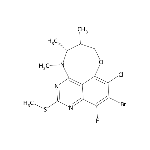 CSc1nc2c3c(c(Cl)c(Br)c(F)c3n1)OCC(C)[C@@H](C)N2C